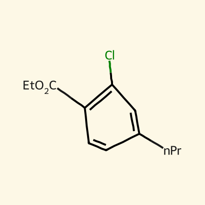 CCCc1ccc(C(=O)OCC)c(Cl)c1